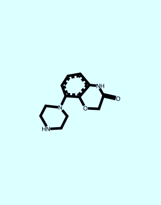 O=C1COc2c(cccc2N2CCNCC2)N1